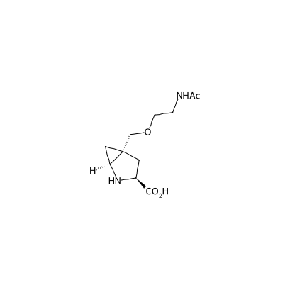 CC(=O)NCCOC[C@]12C[C@@H](C(=O)O)N[C@H]1C2